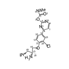 CNC(=O)Oc1nccc(-c2ccc(OC[C@@](C)(N)CC(C)C)c(Cl)c2)n1